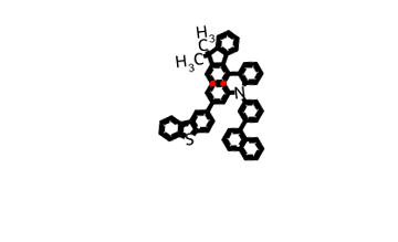 CC1(C)c2ccccc2-c2c(-c3ccccc3N(c3cccc(-c4ccc5sc6ccccc6c5c4)c3)c3cccc(-c4cccc5ccccc45)c3)cccc21